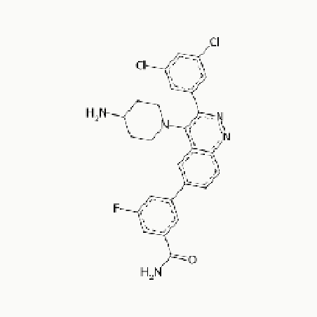 NC(=O)c1cc(F)cc(-c2ccc3nnc(-c4cc(Cl)cc(Cl)c4)c(N4CCC(N)CC4)c3c2)c1